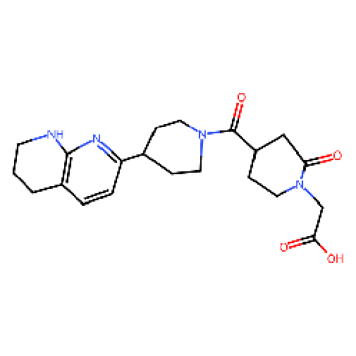 O=C(O)CN1CCC(C(=O)N2CCC(c3ccc4c(n3)NCCC4)CC2)CC1=O